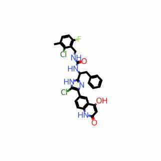 Cc1ccc(F)c(CNC(=O)NC(Cc2ccccc2)c2nc(-c3ccc4[nH]c(=O)cc(O)c4c3)c(Cl)[nH]2)c1Cl